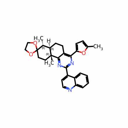 Cc1ccc(-c2nc(-c3ccnc4ccccc34)nc3c2CC[C@@H]2[C@@H](C)C4(CC[C@@]32C)OCCO4)o1